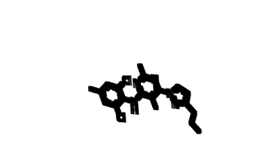 CCCc1ccn(-c2nc(C)nc(Nc3c(Cl)cc(C)cc3Cl)c2C)n1